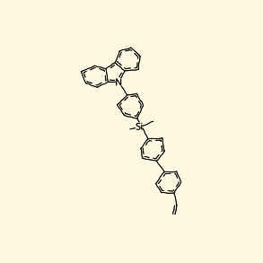 C=Cc1ccc(-c2ccc([Si](C)(C)c3ccc(-n4c5ccccc5c5ccccc54)cc3)cc2)cc1